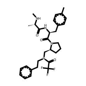 CN[C@@H](C)C(=O)N[C@@H](Cc1ccc(C)cc1)C(=O)N1CCC[C@H]1CN(CCc1ccccc1)C(=O)C(F)(F)F